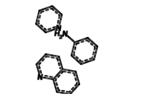 Nc1ccccc1.c1ccc2ncccc2c1.c1ccncc1